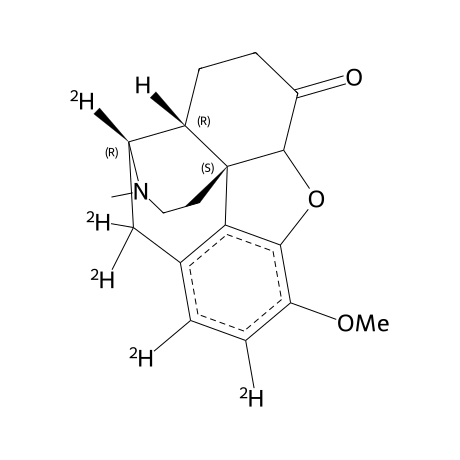 [2H]c1c([2H])c2c3c(c1OC)OC1C(=O)CC[C@@H]4[C@@]31CCN(C)[C@]4([2H])C2([2H])[2H]